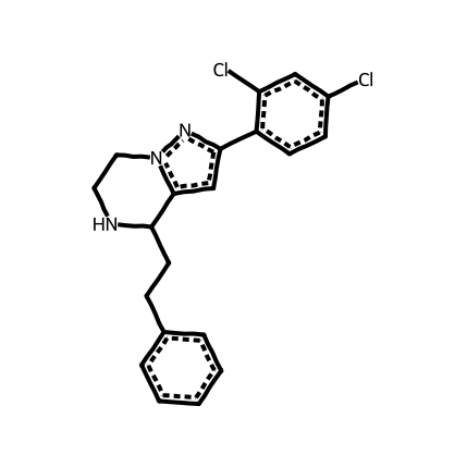 Clc1ccc(-c2cc3n(n2)CCNC3CCc2ccccc2)c(Cl)c1